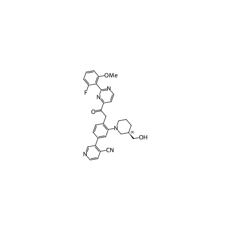 COc1cccc(F)c1-c1nccc(C(=O)Cc2ccc(-c3cnccc3C#N)cc2N2CCC[C@@H](CO)C2)n1